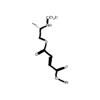 CCOC(=O)N[C@@H](C)COC(=O)/C=C/C(=O)OC(C)C